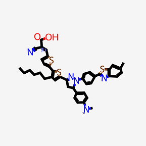 CCCCCCc1cc(C2=NN(c3ccc(-c4nc5ccc(C)cc5s4)cc3)C(c3ccc(N(C)C)cc3)C2)sc1-c1ccc(/C=C(\C#N)C(=O)O)s1